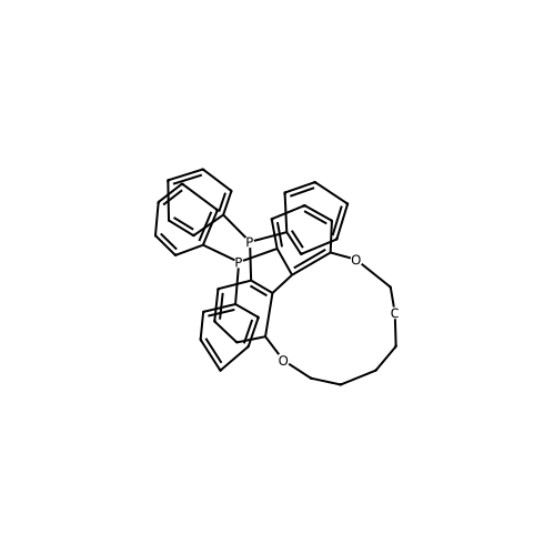 C1=CC(P(c2ccccc2)c2ccccc2)=C2c3c(cccc3P(c3ccccc3)c3ccccc3)OCCCCCCOC2C1